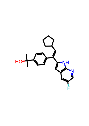 CC(C)(O)c1ccc(C(=CC2CCCC2)c2cc3cc(F)cnc3[nH]2)cc1